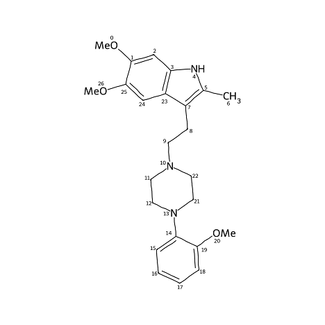 COc1cc2[nH]c(C)c(CCN3CCN(c4ccccc4OC)CC3)c2cc1OC